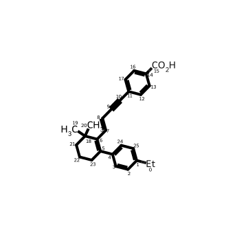 CCc1ccc(C2=C(C=CC#Cc3ccc(C(=O)O)cc3)C(C)(C)CCC2)cc1